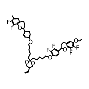 C=CC1COC(CCCCCOC2=CCC(C3CCc4cc(C)c(F)c(F)c4O3)C=C2)(CCCCCOc2ccc(C3CCc4cc(OCC)c(F)c(F)c4O3)c(F)c2F)OC1